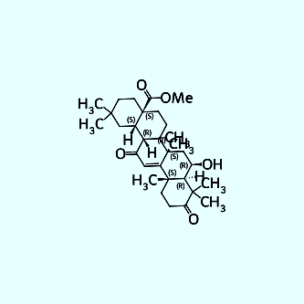 COC(=O)[C@]12CCC(C)(C)C[C@H]1[C@H]1C(=O)C=C3[C@@]4(C)CCC(=O)C(C)(C)[C@@H]4[C@H](O)C[C@@]3(C)[C@]1(C)CC2